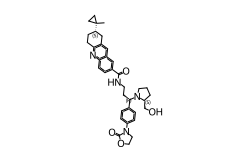 CC1([C@H]2CCc3nc4ccc(C(=O)NCC[C@H](c5ccc(N6CCOC6=O)cc5)N5CCC[C@H]5CO)cc4cc3C2)CC1